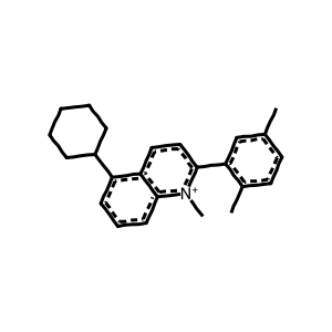 Cc1ccc(C)c(-c2ccc3c(C4CCCCC4)cccc3[n+]2C)c1